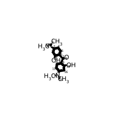 CN(C)c1ccc(C(=O)c2ccc(N(C)C)cc2O)c(O)c1